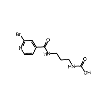 O=C(O)NCCCNC(=O)c1ccnc(Br)c1